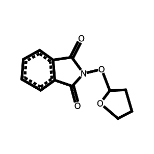 O=C1c2ccccc2C(=O)N1OC1CCCO1